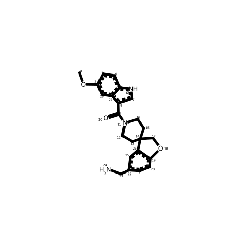 COc1ccc2[nH]cc(C(=O)N3CCC4(CC3)COc3ccc(CN)cc34)c2c1